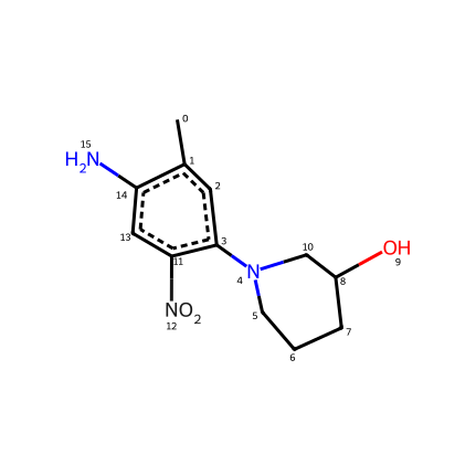 Cc1cc(N2CCCC(O)C2)c([N+](=O)[O-])cc1N